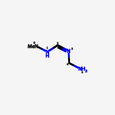 CNN/C=N\CN